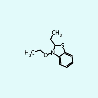 CCON1c2ccccc2SC1CC